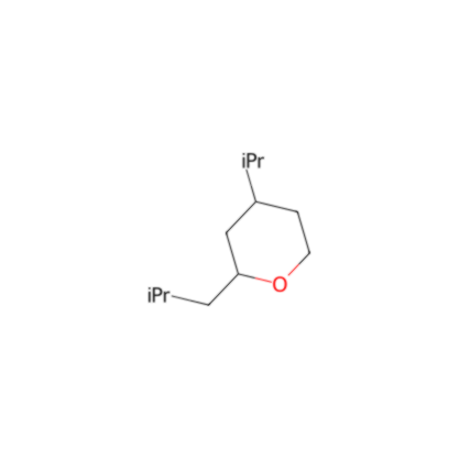 CC(C)CC1CC(C(C)C)CCO1